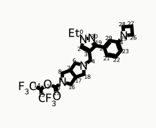 CCn1cc(CN2CC3CN(C(=O)OC(C(F)(F)F)C(F)(F)F)CC3C2)c(-c2cccc(N3CCC3)c2)n1